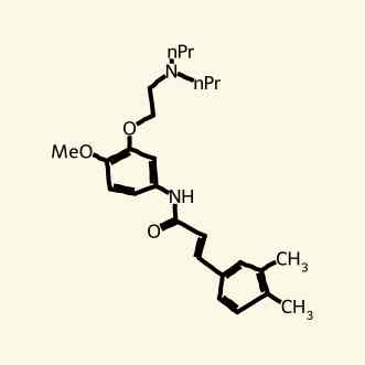 CCCN(CCC)CCOc1cc(NC(=O)C=Cc2ccc(C)c(C)c2)ccc1OC